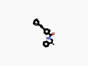 C[C@@H](CNC(=O)c1ccc(C#Cc2ccccc2)cc1)c1ccccc1